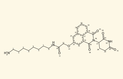 NCCCCCCCCNC(=O)COc1cc2c3c(cccc3c1)C(=O)N(C1CCC(=O)NC1=O)C2=O